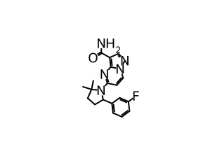 CC1(C)CCC(c2cccc(F)c2)N1c1ccn2ncc(C(N)=O)c2n1